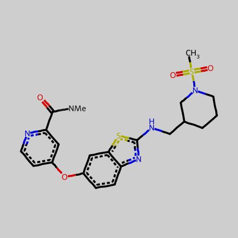 CNC(=O)c1cc(Oc2ccc3nc(NCC4CCCN(S(C)(=O)=O)C4)sc3c2)ccn1